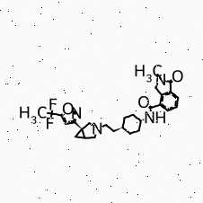 CN1Cc2c(C(=O)N[C@H]3CC[C@H](CCN4CC5C[C@]5(c5cc(C(C)(F)F)on5)C4)CC3)cccc2C1=O